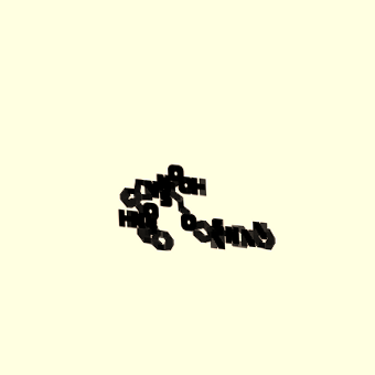 O=C(NC12C=C(C1)c1ccccc1S2)c1cccc2c1CN(c1nc(C(=O)O)c(CCCOc3ccc4nc(N5CCN(c6ccccn6)CC5)sc4c3)s1)CC2